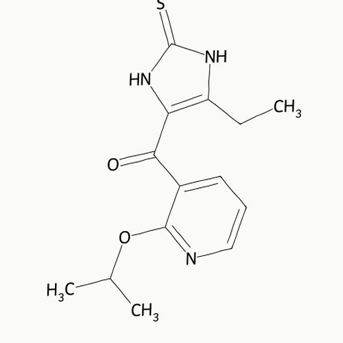 CCc1[nH]c(=S)[nH]c1C(=O)c1cccnc1OC(C)C